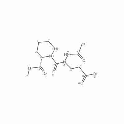 COC(=O)[C@@H]1CCCNN1C(=O)N(CCC(=O)O)NC(C)=O